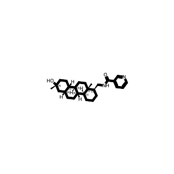 C[C@@]1(O)CC[C@H]2[C@H](CC[C@@H]3[C@@H]2CC[C@]2(C)[C@@H](CNC(=O)c4cccnc4)CCC[C@@H]32)C1